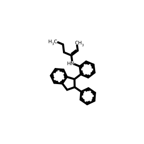 CC=C(CCC)Nc1ccccc1C1c2ccccc2CC1c1ccccc1